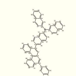 c1ccc(-c2cc3cc(-c4ccc5cc(N(c6ccc7ccccc7c6)c6ccc7ccccc7c6)ccc5c4)c4ccccc4c3c3ccccc23)cc1